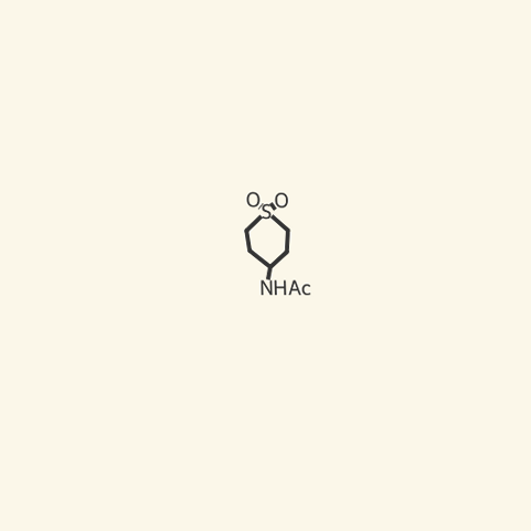 CC(=O)NC1CCS(=O)(=O)CC1